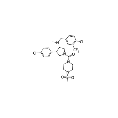 CN(Cc1ccc(Cl)c(C(F)(F)F)c1)[C@@H]1CN(C(=O)N2CCN(S(C)(=O)=O)CC2)C[C@@H]1c1ccc(Cl)cc1